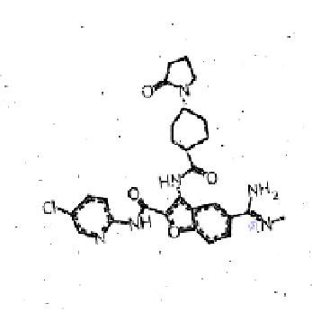 C/N=C(\N)c1ccc2oc(C(=O)Nc3ccc(Cl)cn3)c(NC(=O)[C@H]3CC[C@H](N4CCCC4=O)CC3)c2c1